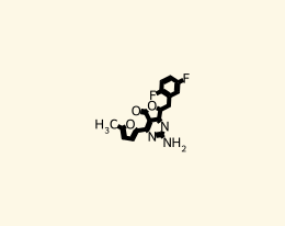 Cc1ccc(-c2nc(N)nc3c2C(=O)OC3Cc2cc(F)ccc2F)o1